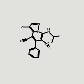 [C-]#[N+]c1c(-c2ccccc2)c(C#N)c2c(Br)cnn2c1NC(C)C